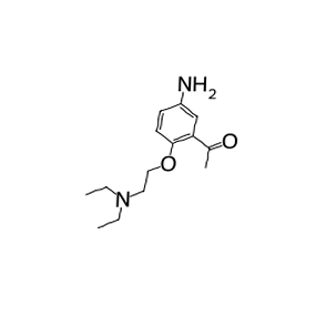 CCN(CC)CCOc1ccc(N)cc1C(C)=O